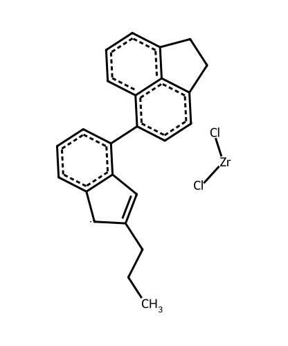 CCCC1=Cc2c(cccc2-c2ccc3c4c(cccc24)CC3)[CH]1.[Cl][Zr][Cl]